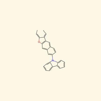 C/C=c1\c(=C/C)oc2cc3cc(-n4c5ccccc5c5ccccc54)ccc3cc12